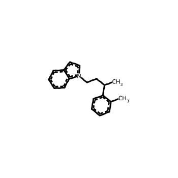 Cc1ccccc1C(C)CCn1ccc2ccccc21